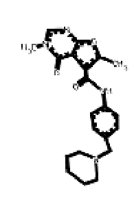 Cc1oc2ncn(C)c(=O)c2c1C(=O)Nc1ccc(CN2CCCCC2)cc1